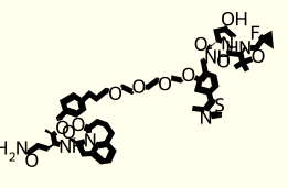 Cc1ncsc1-c1ccc(CNC(=O)[C@@H]2C[C@@H](O)CN2C(=O)[C@@H](NC(=O)C2(F)CC2)C(C)(C)C)c(OCCOCCOCCOCCCc2ccc(CO[C@H](C)[C@H](CCC(N)=O)NC(=O)[C@@H]3Cc4cccc5c4N3C(=O)CCC5)cc2)c1